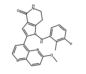 COc1ccc2nccc(-c3cc4c(n3Nc3cccc(F)c3C)CCNC4=O)c2n1